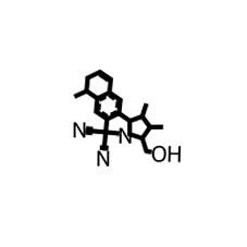 CC1CC=Cc2cc(C3CC(CO)C(C)C3C)c(C(C#N)(C#N)C#N)cc21